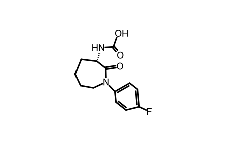 O=C(O)N[C@H]1CCCCN(c2ccc(F)cc2)C1=O